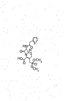 COP(=O)(CC1=C(C(=O)O)N2C(=O)[C@@H](NC(=O)Cc3cccs3)[C@@H]2SC1)OC